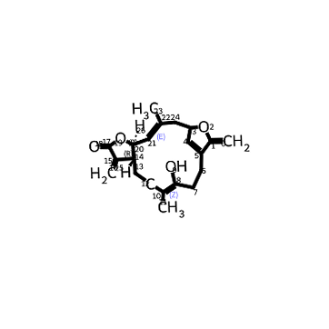 C=C1OC2C=C1CC/C(O)=C(\C)CC[C@@H]1C(=C)C(=O)O[C@H]1/C=C(\C)C2